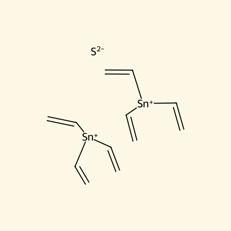 C=[CH][Sn+]([CH]=C)[CH]=C.C=[CH][Sn+]([CH]=C)[CH]=C.[S-2]